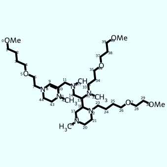 COCCCCOCCN1C=C(CN(C)CC(C2CN(C)CCN2CCCCOCCOC)N(C)CCCOCCCOC)N(C)CC1